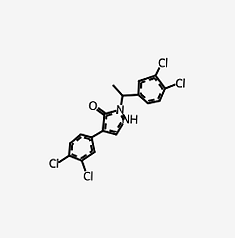 CC(c1ccc(Cl)c(Cl)c1)n1[nH]cc(-c2ccc(Cl)c(Cl)c2)c1=O